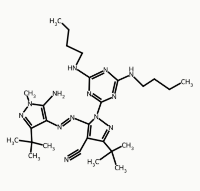 CCCCNc1nc(NCCCC)nc(-n2nc(C(C)(C)C)c(C#N)c2/N=N/c2c(C(C)(C)C)nn(C)c2N)n1